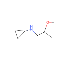 COC(C)CNC1CC1